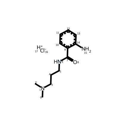 CN(C)CCCNC(=O)c1ccccc1N.[Cl-].[H+]